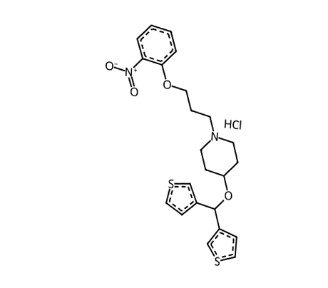 Cl.O=[N+]([O-])c1ccccc1OCCCN1CCC(OC(c2ccsc2)c2ccsc2)CC1